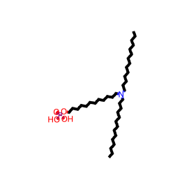 CCCCCCCCCCCCCCN(CCCCCCCCCCCCCC)CCCCCCCCCCCCOP(=O)(O)O